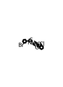 O=S(=O)(c1ccccc1Cl)N1CCN(c2nc(-c3cccc(Br)c3)cs2)CC1